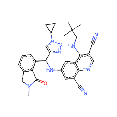 CN1Cc2cccc(C(Nc3cc(C#N)c4ncc(C#N)c(NCC(C)(C)C)c4c3)c3cn(C4CC4)nn3)c2C1=O